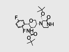 CC(C)(C)OC[C@@H]1C(=O)NCCN1[C@H]1COC(c2cc(F)ccc2F)[C@@H](NC(=O)OC(C)(C)C)C1